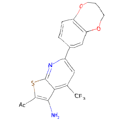 CC(=O)c1sc2nc(-c3ccc4c(c3)OCCO4)cc(C(F)(F)F)c2c1N